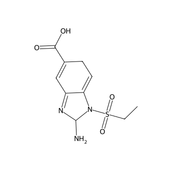 CCS(=O)(=O)N1C2=CCC(C(=O)O)=CC2=NC1N